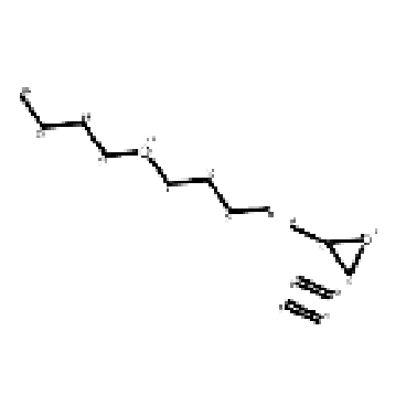 C=C.C=C.CC1CO1.CCCCOCCCC